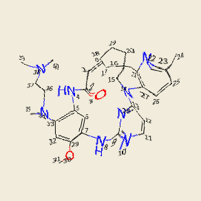 C=CC(=O)Nc1cc(Nc2nccc(N3CC4(CCCC4)c4nc(C)ccc43)n2)c(OC)cc1N(C)CCN(C)C